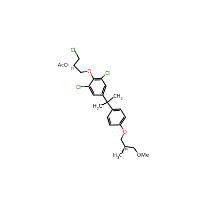 COC[C@@H](C)COc1ccc(C(C)(C)c2cc(Cl)c(OC[C@@H](CCl)OC(C)=O)c(Cl)c2)cc1